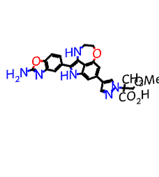 COCC(C)(C(=O)O)n1cc(-c2cc3c4c(c(-c5ccc6oc(N)nc6c5)[nH]c4c2)NCCO3)cn1